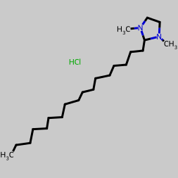 CCCCCCCCCCCCCCCCCC1N(C)CCN1C.Cl